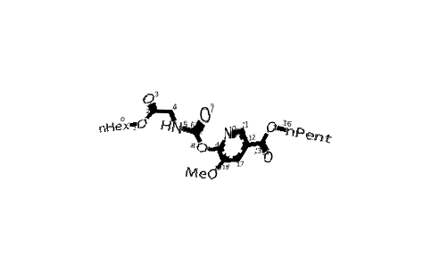 CCCCCCOC(=O)CNC(=O)Oc1ncc(C(=O)OCCCCC)cc1OC